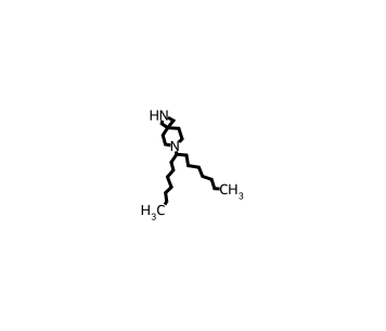 CCCCCCCC(CCCCCCC)N1CCC2(CC1)CNC2